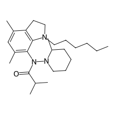 CCCCCCN1CCc2c(C)cc(C)c(N(C(=O)C(C)C)N3CCCCC3C)c21